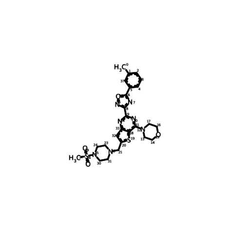 Cc1cccc(-c2nc(-c3nc(N4CCOCC4)c4sc(CN5CCN(S(C)(=O)=O)CC5)cc4n3)no2)c1